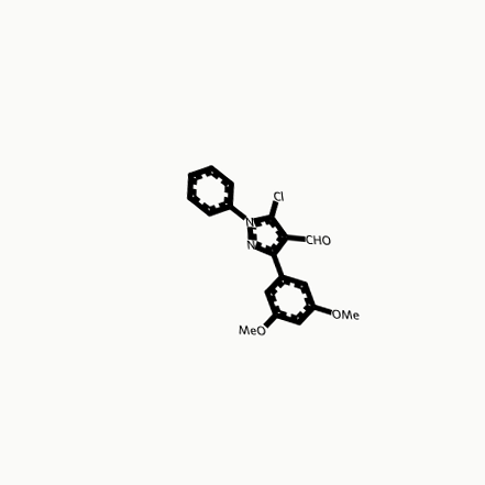 COc1cc(OC)cc(-c2nn(-c3ccccc3)c(Cl)c2C=O)c1